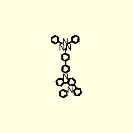 c1ccc(-c2nc(-c3ccccc3)nc(-c3ccc(-c4ccc(-n5c6ccccc6c6c5ccc5c7ccccc7n(-c7ccccc7)c56)cc4)cc3)n2)cc1